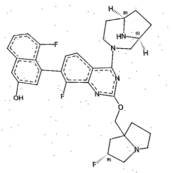 Oc1cc(-c2ccc3c(N4CC[C@H]5CC[C@@H](C4)N5)nc(OCC45CCCN4C[C@H](F)C5)nc3c2F)c2c(F)cccc2c1